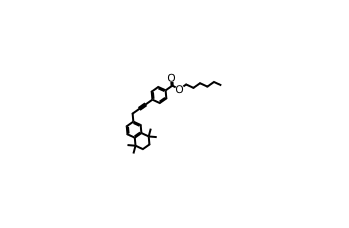 CCCCCCOC(=O)c1ccc(C#CCc2ccc3c(c2)C(C)(C)CCC3(C)C)cc1